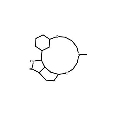 CN1CCCOC2CCCC(C2)C2NNC3CCC(CC32)OCC1